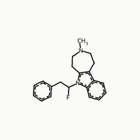 CN1CCc2c(n(C(F)Cc3ccccc3)c3ccccc23)CC1